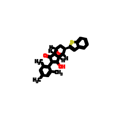 Cc1cc(C)c(C2=C(O)[C@@H]3[C@@H]4O[C@@H](C[C@H]4c4cc5ccccc5s4)[C@@H]3C2=O)c(C)c1